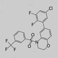 O=S(=O)(c1cccc(C(F)(F)F)c1)N1CCOc2ccc(-c3cc(Cl)cc(F)c3F)cc21